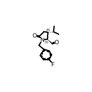 CC(C)[C@H]1CC(=O)N(Cc2ccc(F)cc2)[C@@H]1C=O